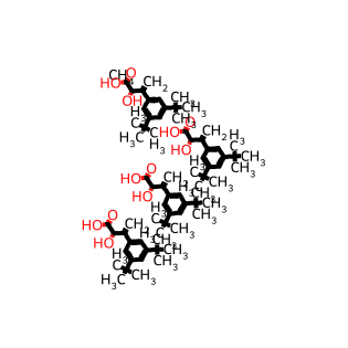 C.C=C(c1cc(C(C)(C)C)cc(C(C)(C)C)c1)C(O)C(=O)O.C=C(c1cc(C(C)(C)C)cc(C(C)(C)C)c1)C(O)C(=O)O.C=C(c1cc(C(C)(C)C)cc(C(C)(C)C)c1)C(O)C(=O)O.C=C(c1cc(C(C)(C)C)cc(C(C)(C)C)c1)C(O)C(=O)O